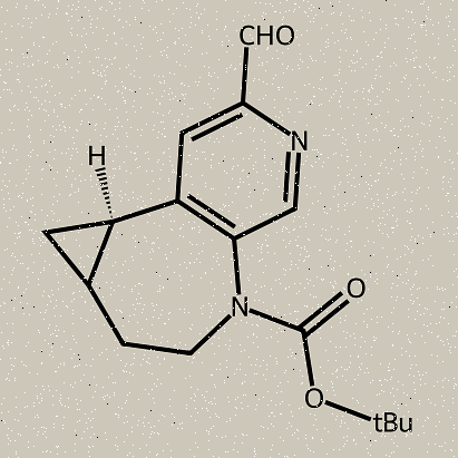 CC(C)(C)OC(=O)N1CCC2C[C@H]2c2cc(C=O)ncc21